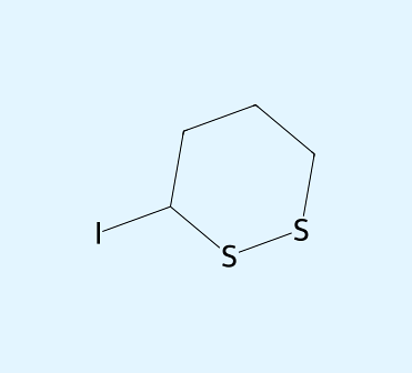 IC1CCCSS1